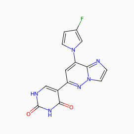 O=c1[nH]cc(-c2cc(-n3ccc(F)c3)c3nccn3n2)c(=O)[nH]1